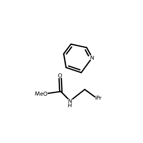 COC(=O)NCC(C)C.c1ccncc1